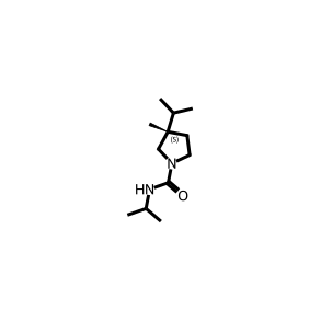 CC(C)NC(=O)N1CC[C@@](C)(C(C)C)C1